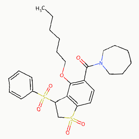 CCCCCCOc1c(C(=O)N2CCCCCC2)ccc2c1C(S(=O)(=O)c1ccccc1)CS2(=O)=O